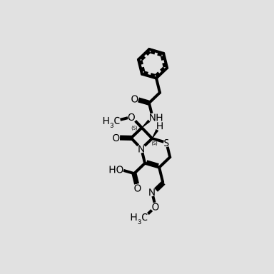 CON=CC1=C(C(=O)O)N2C(=O)[C@](NC(=O)Cc3ccccc3)(OC)[C@@H]2SC1